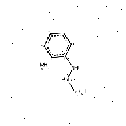 N.O=S(=O)(O)NNc1ccccc1